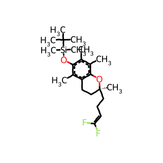 Cc1c(C)c2c(c(C)c1O[Si](C)(C)C(C)(C)C)CC[C@](C)(CCC=C(F)F)O2